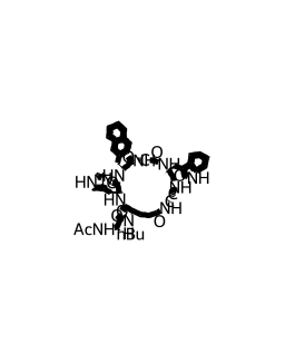 CCCC[C@@H](NC(C)=O)C(=O)N[C@H]1CCC(=O)NCCNC(=O)[C@H](Cc2c[nH]c3ccccc23)NC(=O)CNC(=O)[C@@H](Cc2ccc3ccccc3c2)NC(=O)[C@H](Cc2c[nH]cn2)NC1=O